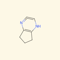 C1=CNC2=C(CCC2)N=1